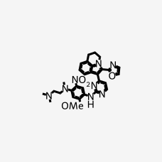 COc1cc(N(C)CCN(C)C)c([N+](=O)[O-])cc1Nc1nccc(-c2c(-c3ncco3)n3c4c(cccc24)CCC3)n1